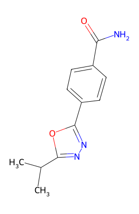 CC(C)c1nnc(-c2ccc(C(N)=O)cc2)o1